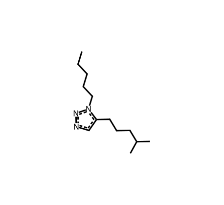 CCCCCn1nncc1CCCC(C)C